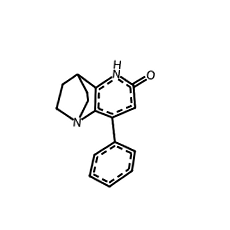 O=c1cc(-c2ccccc2)c2c([nH]1)C1CCN2CC1